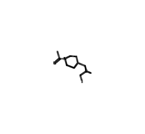 CC(=O)N1CCC(CN(C)CI)CC1